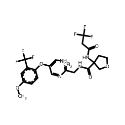 C=C(CNC(=O)C1(NC(=O)CC(F)(F)F)CCOC1)/N=C\C(=C/N)Oc1ccc(OC)cc1C(F)(F)F